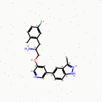 Cc1ccc(F)cc1C[C@H](N)COc1cncc(-c2ccc3[nH]nc(C)c3c2)c1